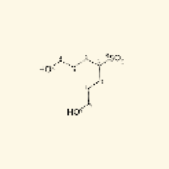 O=S(=O)(O)C(CCCO)CCCO